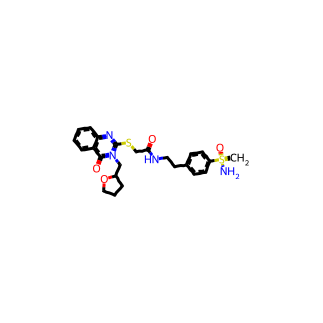 C=S(N)(=O)c1ccc(CCNC(=O)CSc2nc3ccccc3c(=O)n2CC2CCCO2)cc1